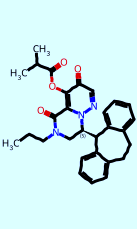 CCCN1C[C@H](C2c3ccccc3CCc3ccccc32)n2ncc(=O)c(OC(=O)C(C)C)c2C1=O